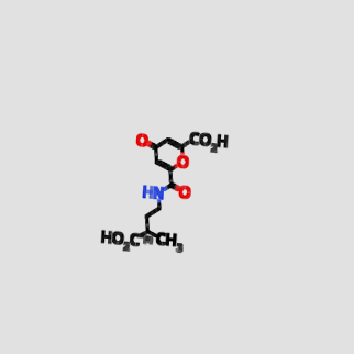 C[C@H](CCNC(=O)c1cc(=O)cc(C(=O)O)o1)C(=O)O